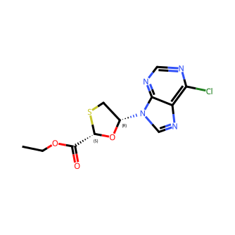 CCOC(=O)[C@H]1O[C@@H](n2cnc3c(Cl)ncnc32)CS1